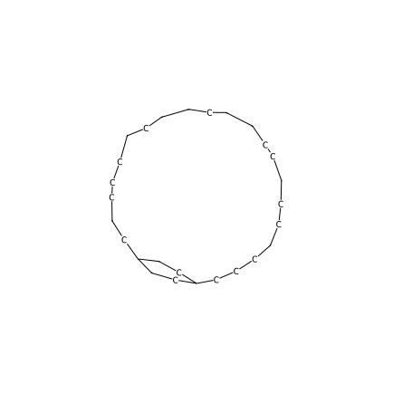 C1CCCCCCCCCCC2CCC(CCCCCCCCCC1)CC2